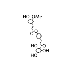 COc1cc(C=CC(=O)Oc2ccc(CCC(=O)c3c(O)cc(O)cc3O)cc2)ccc1O